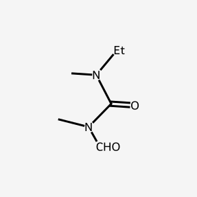 CCN(C)C(=O)N(C)C=O